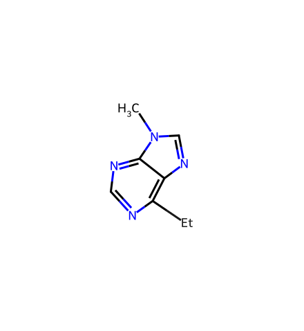 CCc1ncnc2c1ncn2C